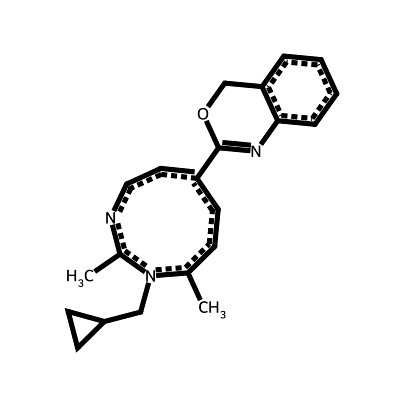 Cc1ccc(C2=Nc3ccccc3CO2)ccnc(C)n1CC1CC1